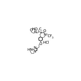 Cl.O=C(O)C[C@@]1(CCN2CCOCC2)Cc2ccc(OCCc3cn4c(n3)NCCC4)cc2CN(CC(F)(F)F)C1=O